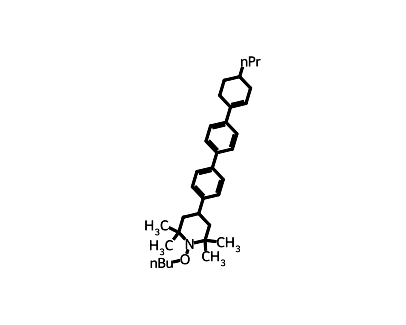 CCCCON1C(C)(C)CC(c2ccc(-c3ccc(C4=CCC(CCC)CC4)cc3)cc2)CC1(C)C